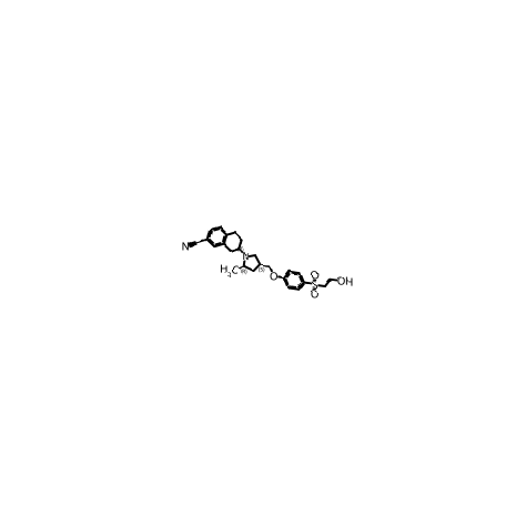 C[C@@H]1C[C@H](COc2ccc(S(=O)(=O)CCO)cc2)CN1[C@@H]1CCc2ccc(C#N)cc2C1